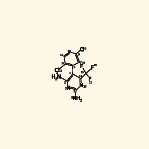 Nc1nc(N)c(-c2cc(Cl)ccc2Cl)c(C(F)(F)F)n1